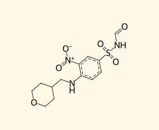 O=CNS(=O)(=O)c1ccc(NCC2CCOCC2)c([N+](=O)[O-])c1